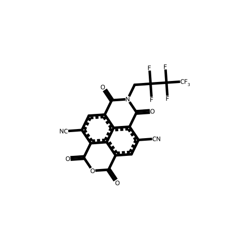 N#Cc1cc2c3c(c(C#N)cc4c3c1C(=O)OC4=O)C(=O)N(CC(F)(F)C(F)(F)C(F)(F)F)C2=O